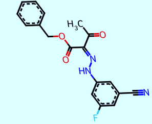 CC(=O)C(=NNc1cc(F)cc(C#N)c1)C(=O)OCc1ccccc1